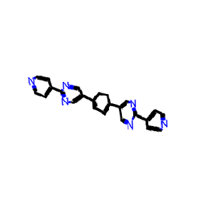 C1=C(c2cnc(-c3ccncc3)nc2)CCC(c2cnc(-c3ccncc3)nc2)=C1